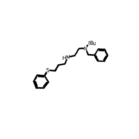 CC(C)(C)N(CCNCCCSc1ccccc1)Cc1ccccc1